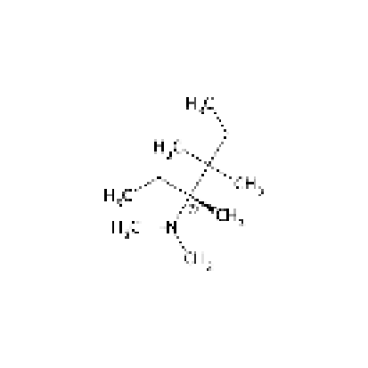 CCC(C)(C)[C@@](C)(CC)N(C)C